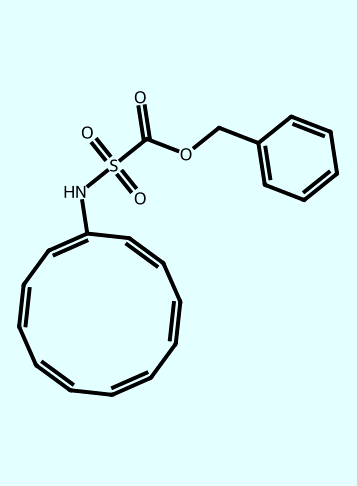 O=C(OCc1ccccc1)S(=O)(=O)NC1=C/C=C\C=C/C=C\C=C/C=C\1